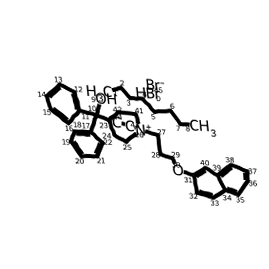 Br.CCCCCCCC.OC(c1ccccc1)(c1ccccc1)C12CC[N+](CCCOc3ccc4ccccc4c3)(CC1)CC2.[Br-]